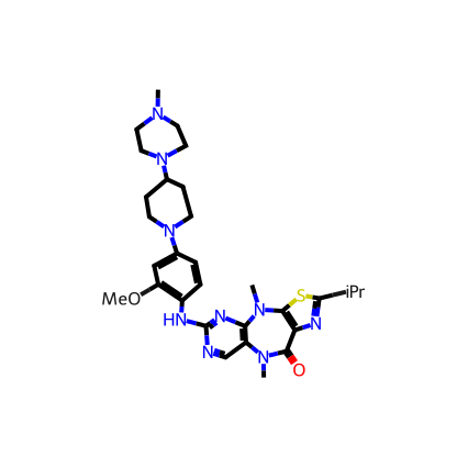 COc1cc(N2CCC(N3CCN(C)CC3)CC2)ccc1Nc1ncc2c(n1)N(C)c1sc(C(C)C)nc1C(=O)N2C